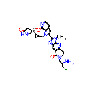 Cn1c(-c2cc3ccnc(OC[C@@H]4CNC(=O)C4)c3n2CC2CC2)nc2cc3c(nc21)CCN(CC(N)CF)C3=O